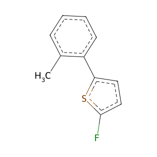 Cc1ccccc1-c1ccc(F)s1